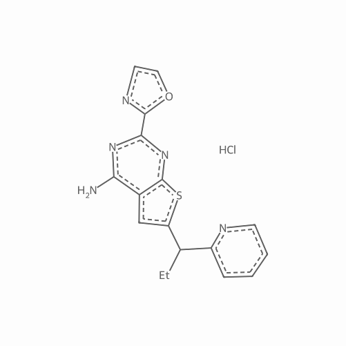 CCC(c1ccccn1)c1cc2c(N)nc(-c3ncco3)nc2s1.Cl